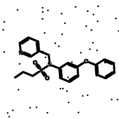 CCCS(=O)(=O)N(Cc1cccnc1)c1cccc(Oc2ccccc2)c1